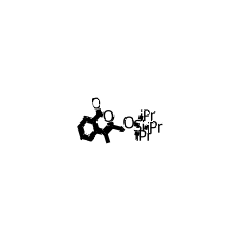 Cc1c(CO[Si](C(C)C)(C(C)C)C(C)C)oc(=O)c2ccccc12